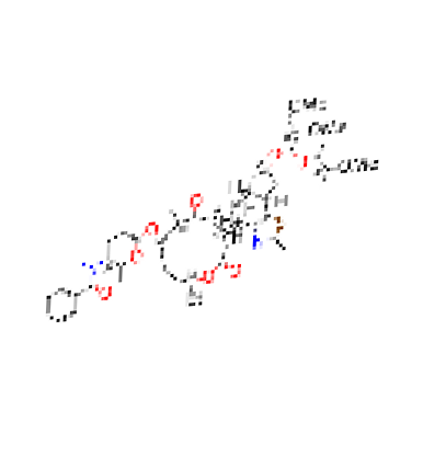 CC[C@H]1CCC[C@H](O[C@H]2CC[C@H](N(C)C(=O)c3ccccc3)C(C)O2)[C@@H](C)C(=O)C2=C[C@H]3[C@@H]4C[C@H](OC(OC(C)[C@@H](C)OC)[C@H](COC)OC)C[C@H]4c4sc(C)nc4[C@H]3[C@@H]2CC(=O)O1